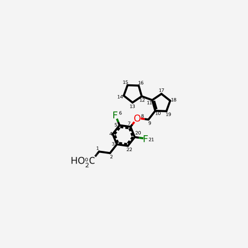 O=C(O)CCc1cc(F)c(OCC2=C(C3CCCC3)CCC2)c(F)c1